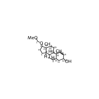 COCOC1CC[C@H]2[C@@H]3CCC4CC(O)C=C[C@]4(C)[C@@H]3CC[C@]12C